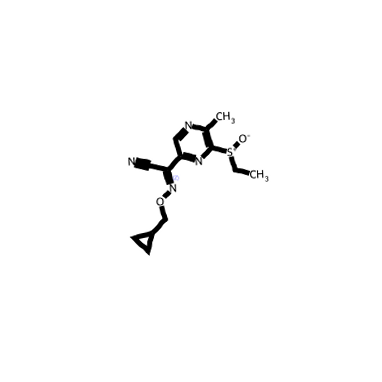 CC[S+]([O-])c1nc(/C(C#N)=N/OCC2CC2)cnc1C